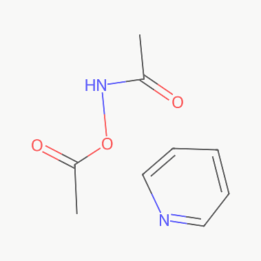 CC(=O)NOC(C)=O.c1ccncc1